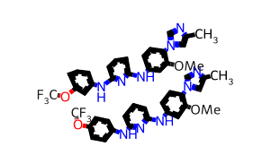 COc1cc(Nc2cccc(Nc3ccc(OC(F)(F)F)cc3)n2)ccc1-n1cnc(C)c1.COc1cc(Nc2cccc(Nc3cccc(OC(F)(F)F)c3)n2)ccc1-n1cnc(C)c1